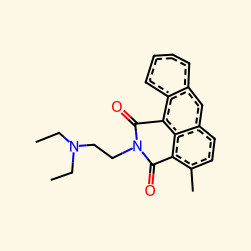 CCN(CC)CCN1C(=O)c2c(C)ccc3cc4ccccc4c(c23)C1=O